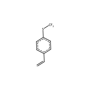 [CH]=Cc1ccc(SC(F)(F)F)cc1